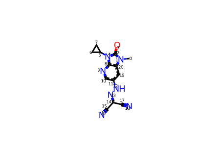 Cn1c(=O)n(C2CC2)c2ncc(NN=C(C#N)C#N)cc21